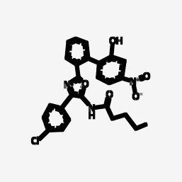 CCCCC(=O)Nc1oc(-c2ccccc2-c2ccc([N+](=O)[O-])cc2O)nc1-c1ccc(Cl)cc1